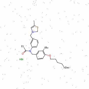 Br.CCCCCCCCCCCCCCOc1ccc(CN(C(=O)CC)c2cccc(CN3C=C(C)SC3)c2)cc1C(C)(C)C